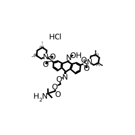 C[C@@H]1C[C@H](C)CN(S(=O)(=O)c2ccc3c(c2)C(=NO)c2cc(S(=O)(=O)N4C[C@H](C)C[C@H](C)C4)ccc2C3=NOCOC(=O)C(C)(C)N)C1.Cl